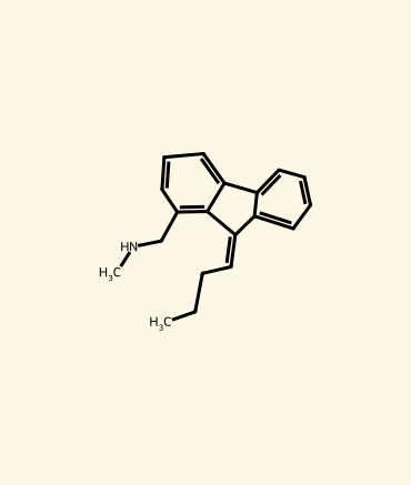 CCC/C=C1/c2ccccc2-c2cccc(CNC)c21